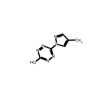 Cc1cnn(-c2nnc(O)nn2)c1